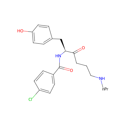 CCCNCCCC(=O)[C@H](Cc1ccc(O)cc1)NC(=O)c1ccc(Cl)cc1